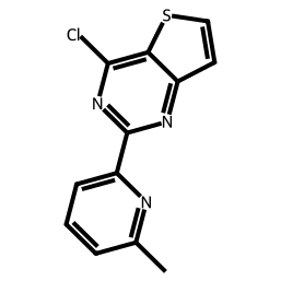 Cc1cccc(-c2nc(Cl)c3sccc3n2)n1